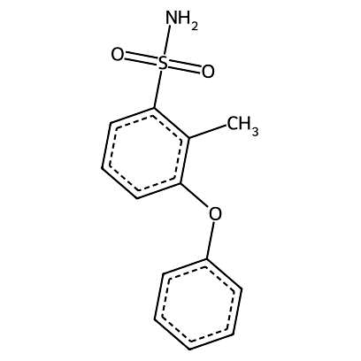 Cc1c(Oc2ccccc2)cccc1S(N)(=O)=O